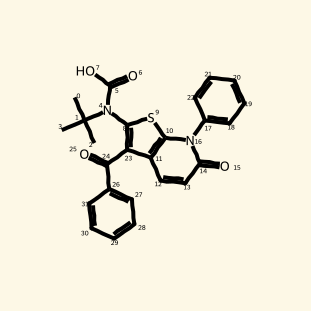 CC(C)(C)N(C(=O)O)c1sc2c(ccc(=O)n2-c2ccccc2)c1C(=O)c1ccccc1